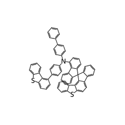 c1ccc(-c2ccc(N(c3ccc(-c4cccc5sc6ccccc6c45)cc3)c3cccc4c3-c3ccccc3C43c4ccccc4-c4ccc5sc6ccccc6c5c43)cc2)cc1